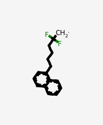 [CH2]C(F)(F)CCCCc1cccc2ccccc12